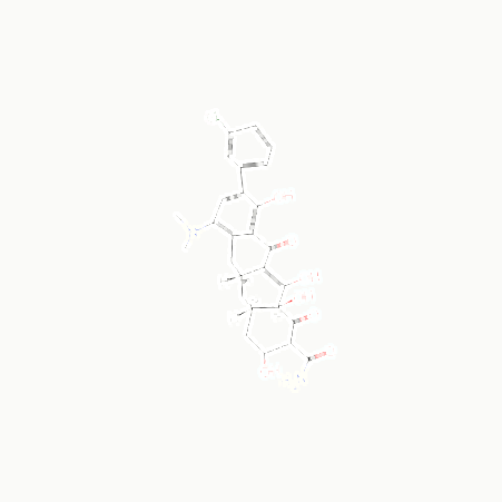 CN(C)c1cc(-c2cccc(Cl)c2)c(O)c2c1C[C@H]1C[C@H]3CC(O)C(C(N)=O)C(=O)[C@@]3(O)C(O)=C1C2=O